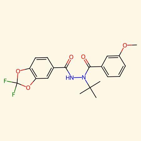 COc1cccc(C(=O)N(NC(=O)c2ccc3c(c2)OC(F)(F)O3)C(C)(C)C)c1